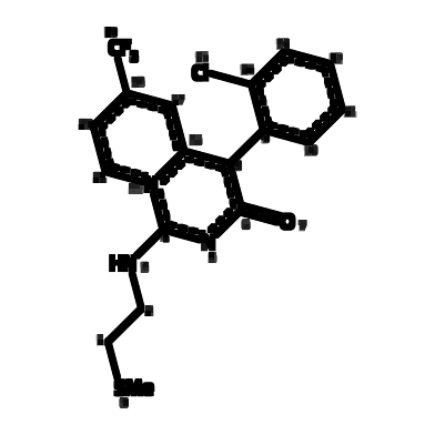 CSCCNc1nc(=O)c(-c2ccccc2Cl)c2cc(C(F)(F)F)ccn12